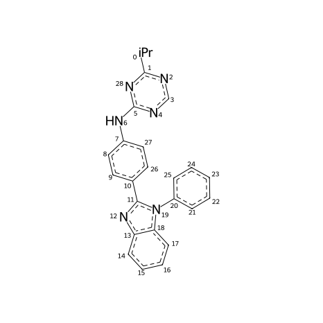 CC(C)c1ncnc(Nc2ccc(-c3nc4ccccc4n3-c3ccccc3)cc2)n1